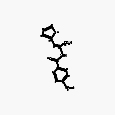 CCCCCc1ccc(C(=O)NC(=Cc2cccs2)C(=O)O)cc1